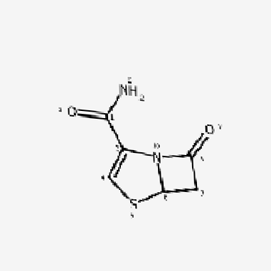 NC(=O)C1=CSC2CC(=O)N12